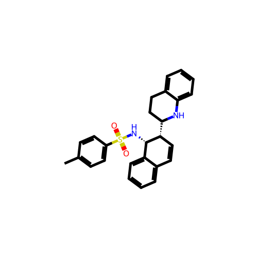 Cc1ccc(S(=O)(=O)N[C@H]2c3ccccc3C=C[C@H]2C2CCc3ccccc3N2)cc1